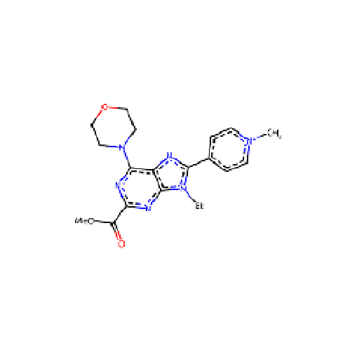 CCn1c(-c2cc[n+](C)cc2)nc2c(N3CCOCC3)nc(C(=O)OC)nc21